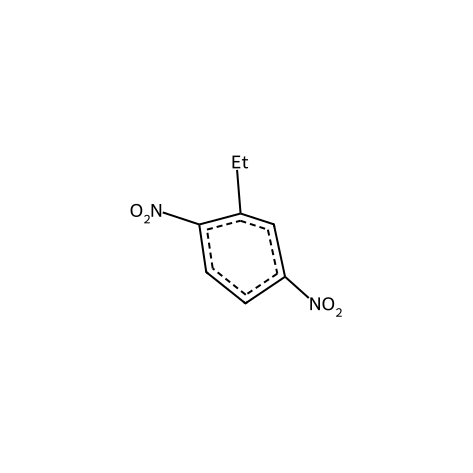 [CH2]Cc1cc([N+](=O)[O-])ccc1[N+](=O)[O-]